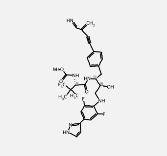 C=C(C#Cc1ccc(C[C@H](NC(=O)[C@@H](NC(=O)OC)C(C)(C)C(F)(F)F)[C@@H](O)CNc2c(F)cc(-c3cc[nH]n3)cc2F)cc1)C=N